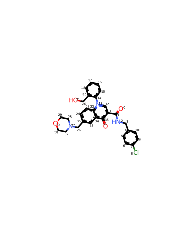 O=C(NCc1ccc(Cl)cc1)c1cn(-c2ccccc2CO)c2ccc(CN3CCOCC3)cc2c1=O